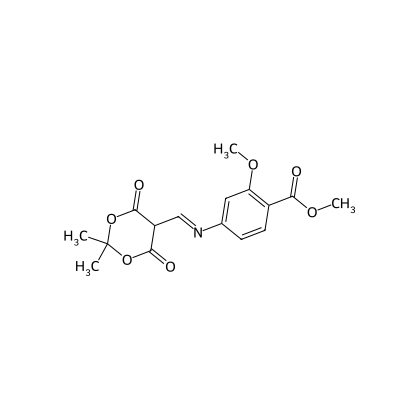 COC(=O)c1ccc(N=CC2C(=O)OC(C)(C)OC2=O)cc1OC